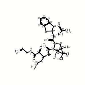 C=CCNC(=O)C(=O)C(CCC)NC(=O)[C@@H]1[C@@H]2[C@H](CN1C(=O)[C@@H](NC(C)=O)C1Cc3ccccc3C1)C2(Cl)Cl